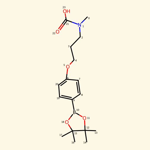 CN(CCCOc1ccc(B2OC(C)(C)C(C)(C)O2)cc1)C(=O)O